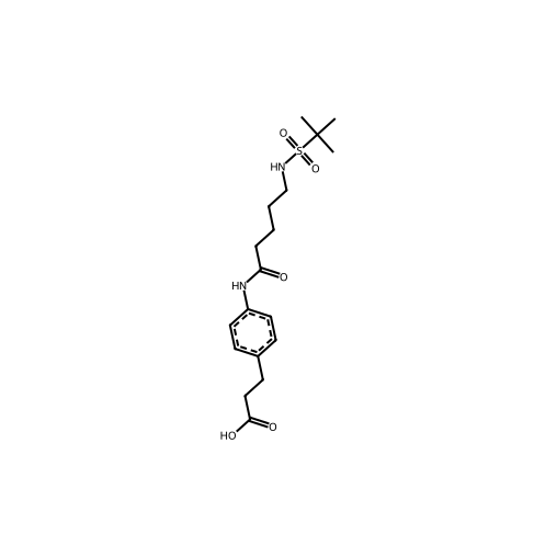 CC(C)(C)S(=O)(=O)NCCCCC(=O)Nc1ccc(CCC(=O)O)cc1